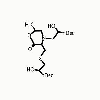 CCCCCCCCCCC(O)CSCC1C(=O)OC(C)CN1CC(O)CCCCCCCCCC